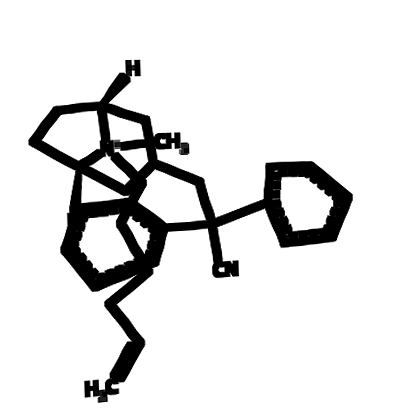 C=CCCCC[N+]1(C)[C@@H]2CC[C@H]1CC(CC(C#N)(c1ccccc1)c1ccccc1)C2